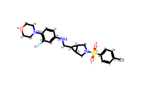 CCc1ccc(S(=O)(=O)N2CC3C(CNc4ccc(N5CCOCC5)c(F)c4)C3C2)cc1